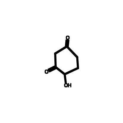 O=C1CCC(O)C(=O)C1